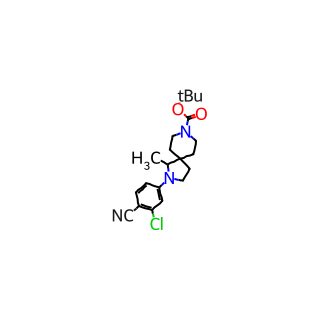 CC1N(c2ccc(C#N)c(Cl)c2)CCC12CCN(C(=O)OC(C)(C)C)CC2